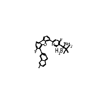 BC(B)(c1cnc(-c2cccc3c2oc2c(-c4ccc5ccc(C)cc5c4)c(F)ccc23)cc1F)C(C)(C)C